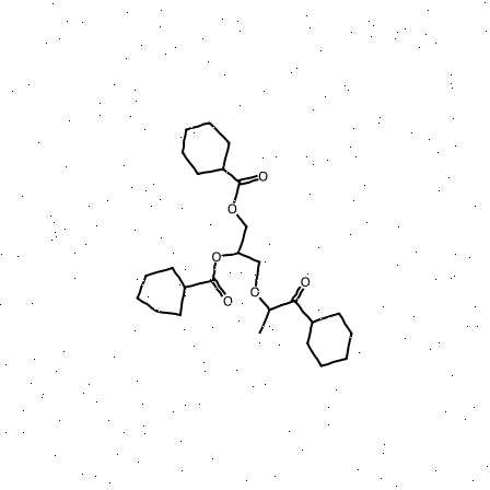 CC(OCC(COC(=O)C1CCCCC1)OC(=O)C1CCCCC1)C(=O)C1CCCCC1